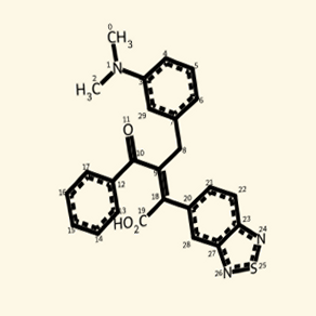 CN(C)c1cccc(CC(C(=O)c2ccccc2)=C(C(=O)O)c2ccc3nsnc3c2)c1